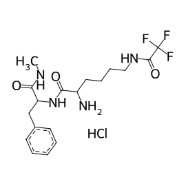 CNC(=O)C(Cc1ccccc1)NC(=O)C(N)CCCCNC(=O)C(F)(F)F.Cl